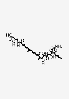 CC/C=C/C(OC(N)=O)C(Cl)C(O)CC(=O)C(O)C(O)C(C)/C(Cl)=C/C=C/C=C(C)/C=C/C=C/C(=O)NCC(O)CC(=O)O